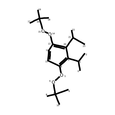 CC(C)c1c(OOC(C)(C)C)ccc(OOC(C)(C)C)c1C(C)C